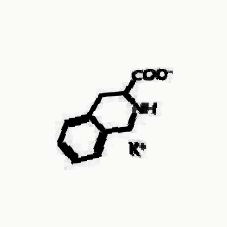 O=C([O-])C1Cc2ccccc2CN1.[K+]